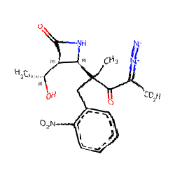 C[C@@H](O)[C@H]1C(=O)N[C@H]1C(C)(Cc1ccccc1[N+](=O)[O-])C(=O)C(=[N+]=[N-])C(=O)O